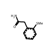 CSc1ccccc1CC(N)=O